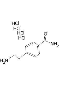 Cl.Cl.Cl.Cl.NCCc1ccc(C(N)=O)cc1